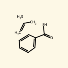 C=CC.O=C(S)c1ccccc1.S